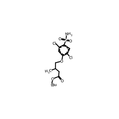 CC(COc1cc(Cl)c(S(N)(=O)=O)cc1Cl)CC(=O)OC(C)(C)C